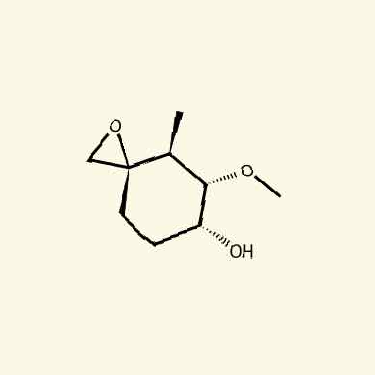 CO[C@@H]1[C@H](O)CC[C@]2(CO2)[C@H]1C